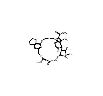 C=C1CSCC(=N)/C=C(\NC)CCc2cc3c(c(c2)OCCCn2c(C(=O)OC)c(C)c4c(c(Cl)ccc42)/C1=C(\C)N(C)C)CCCC3